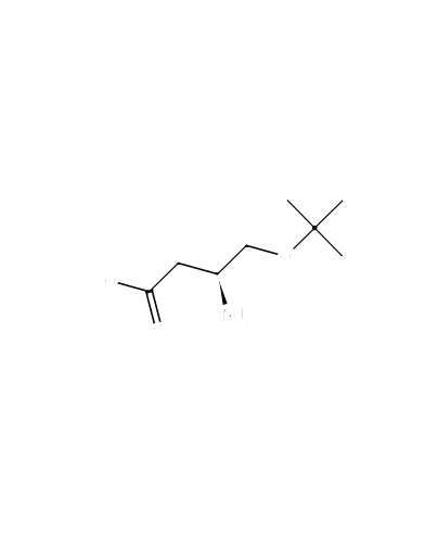 CC(C)(C)OC[C@@H](N)CC(=O)O